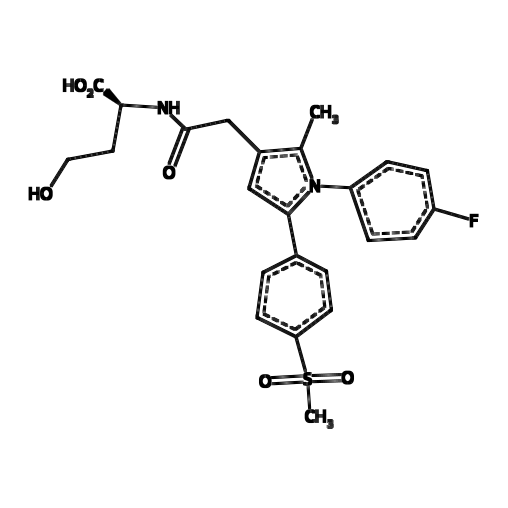 Cc1c(CC(=O)N[C@@H](CCO)C(=O)O)cc(-c2ccc(S(C)(=O)=O)cc2)n1-c1ccc(F)cc1